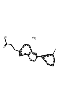 Cl.O=C(O)CCc1ccc2cc(-c3cccc(F)c3)cnc2c1